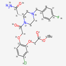 CC(C)(C)OC(=O)COc1cc(Cl)ccc1OCC(=O)N1CCN(Cc2ccc(F)cc2)C[C@H]1CC(N)=O